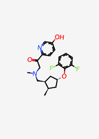 C[C@@H]1C[C@@H](Oc2c(F)cccc2F)C[C@@H]1CN(C)CC(=O)c1ccc(O)cn1